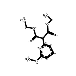 CCOC(=O)C(C(=O)OCC)c1cccc(OC)n1